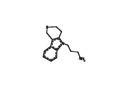 NCCCn1c2c(c3ccccc31)CSCC2